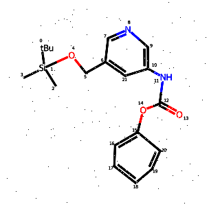 CC(C)(C)[Si](C)(C)OCc1cncc(NC(=O)Oc2ccccc2)c1